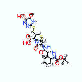 Cn1c(SCC2=C(C(=O)O)N3C(=O)[C@H](NC(=O)Cc4ccccc4NC(=O)OC(C)(C)C)[C@H]3SC2)nnc(O)c1=O